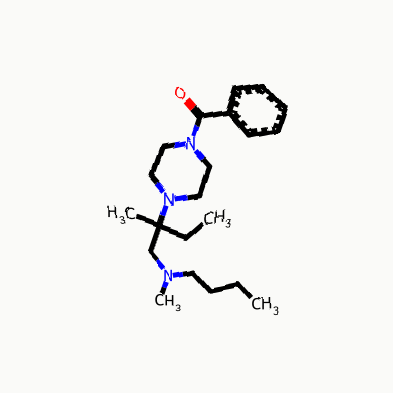 CCCCN(C)CC(C)(CC)N1CCN(C(=O)c2ccccc2)CC1